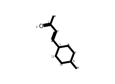 CC(=O)/C=C/C1CCC(C)CC1